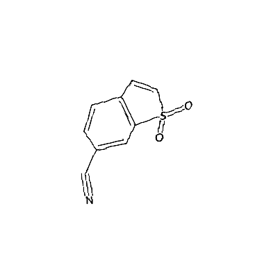 N#Cc1ccc2c(c1)S(=O)(=O)C=C2